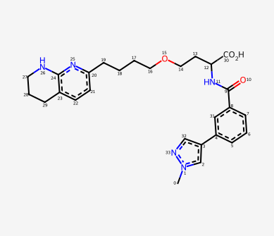 Cn1cc(-c2cccc(C(=O)NC(CCOCCCCc3ccc4c(n3)NCCC4)C(=O)O)c2)cn1